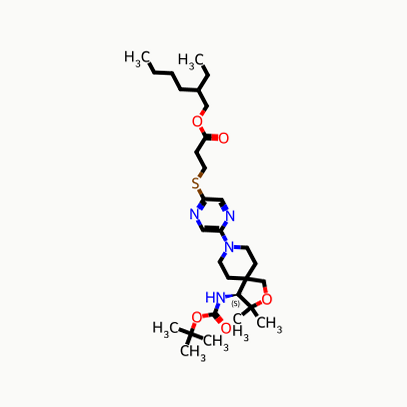 CCCCC(CC)COC(=O)CCSc1cnc(N2CCC3(CC2)COC(C)(C)[C@H]3NC(=O)OC(C)(C)C)cn1